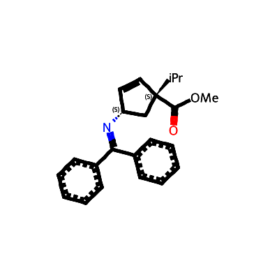 COC(=O)[C@@]1(C(C)C)C=C[C@@H](N=C(c2ccccc2)c2ccccc2)C1